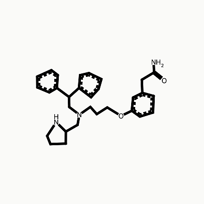 NC(=O)Cc1cccc(OCCCN(CC2CCCN2)CC(c2ccccc2)c2ccccc2)c1